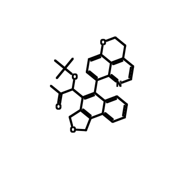 CC(=O)C(OC(C)(C)C)c1c2c(c3ccccc3c1-c1ccc3c4c(ccnc14)CCO3)COC2